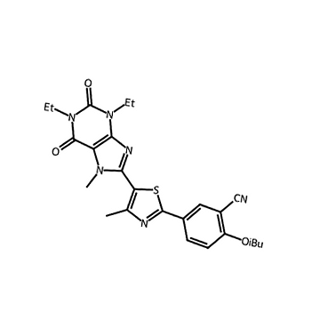 CCn1c(=O)c2c(nc(-c3sc(-c4ccc(OCC(C)C)c(C#N)c4)nc3C)n2C)n(CC)c1=O